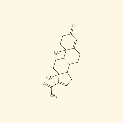 CC(=O)C1=CCC2C3CCC4=CC(=O)CCC4(C)C3CCC12C